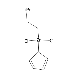 CC(C)C[CH2][Zr]([Cl])([Cl])[CH]1C=CC=C1